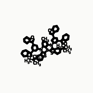 Cc1cc2c3c(c1)N(c1cc(-c4coc5ccccc45)cc(-c4coc5ccccc45)c1)c1c(sc4ccc(C(C)(C)C)cc14)B3c1sc3ccc(C(C)(C)C)cc3c1N2c1cc(-c2coc3ccccc23)cc(-c2coc3ccccc23)c1